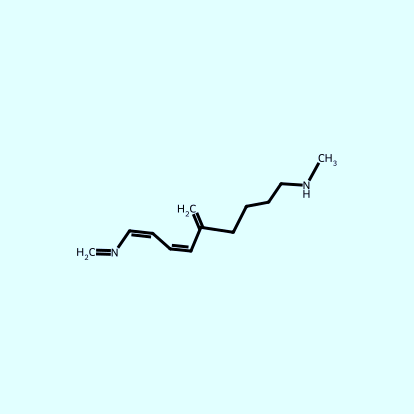 C=N/C=C\C=C/C(=C)CCCCNC